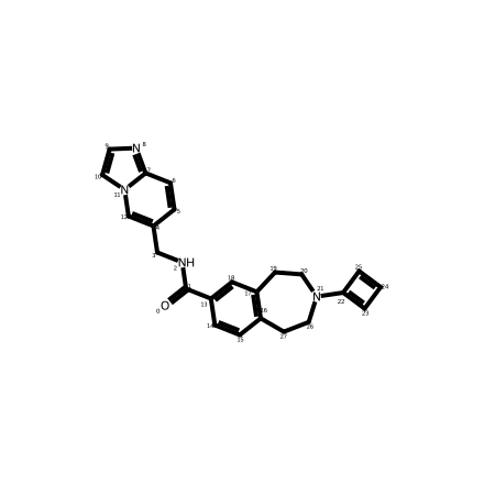 O=C(NCc1ccc2nccn2c1)c1ccc2c(c1)CCN(C1=CC=C1)CC2